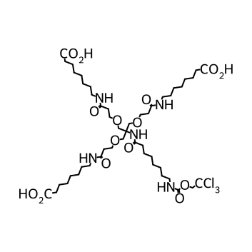 O=C(O)CCCCCCCNC(=O)CCOCC(COCCC(=O)NCCCCCCCC(=O)O)(COCCC(=O)NCCCCCCCC(=O)O)NC(=O)CCCCCCCNC(=O)OCC(Cl)(Cl)Cl